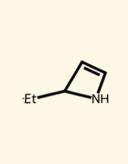 C[CH]C1C=CN1